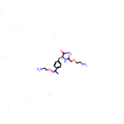 C/C(=N/OCCN)c1ccc(C[C@H](NC(=O)COCCN)C(N)=O)cc1